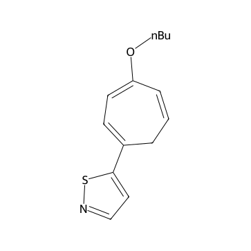 CCCCOC1=CC=C(c2ccns2)CC=C1